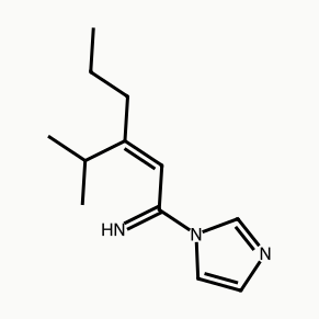 CCC/C(=C/C(=N)n1ccnc1)C(C)C